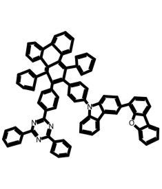 c1ccc(-c2nc(-c3ccccc3)nc(-c3ccc(-c4c(-c5ccc(-n6c7ccccc7c7cc(-c8cccc9c8oc8ccccc89)ccc76)cc5)c(-c5ccccc5)c5c6ccccc6c6ccccc6c5c4-c4ccccc4)cc3)n2)cc1